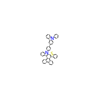 c1ccc(-n2c3ccccc3c3cc(-c4ccc(-n5c6ccccc6c6c7c8ccccc8c8ccccc8c7c7c8ccccc8sc7c65)cc4)ccc32)cc1